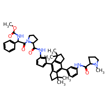 COC(=O)NC(C(=O)N1CCCC1C(=O)Nc1cccc(-c2c3c(c(-c4cccc(NC(=O)C5CCCN5C)c4)c4c2C(C)(C)CC4)C(C)(C)CC3)c1)c1ccccc1